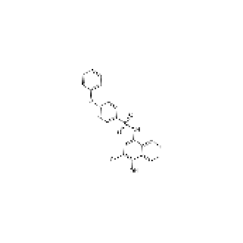 O=S(=O)(Nc1cc(Cl)c(O)c2ccccc12)c1ccc(Oc2ccccc2)cc1